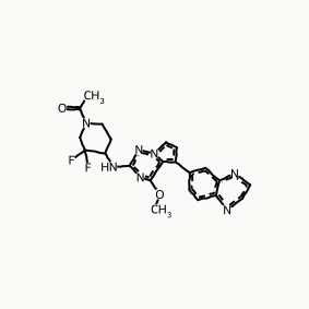 COc1nc(NC2CCN(C(C)=O)CC2(F)F)nn2ccc(-c3ccc4nccnc4c3)c12